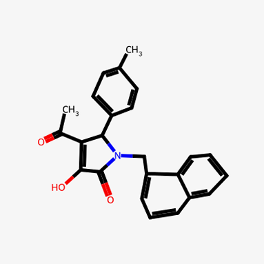 CC(=O)C1=C(O)C(=O)N(Cc2cccc3ccccc23)C1c1ccc(C)cc1